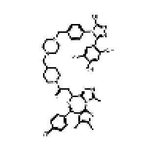 Cc1sc2c(c1C)C(c1ccc(Cl)cc1)=NC(CC(=O)N1CCC(CN3CCN(Cc4ccc(-n5c(O)nnc5-c5cc(C(C)C)c(O)cc5O)cc4)CC3)CC1)c1nnc(C)n1-2